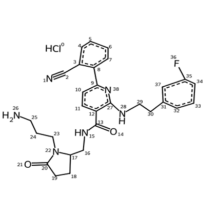 Cl.N#Cc1ccccc1-c1ccc(C(=O)NCC2CCC(=O)N2CCCN)c(NCCc2cccc(F)c2)n1